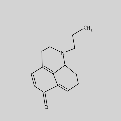 CCCN1CCC2=C3C(=CCCC31)C(=O)C=C2